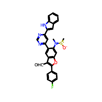 CN(c1cc2oc(-c3ccc(F)cc3)c(C=O)c2cc1-c1cc(-c2cc3ccccc3[nH]2)ncn1)[S+](C)[O-]